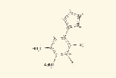 CC(=O)Nc1c(C(=O)O)cc(-c2ccoc2)c(Br)c1F